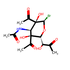 CC(=O)N[C@H]1[C@](O)(C(C)=O)[C@@H](Br)O[C@H](C(O)C(C)=O)[C@]1(O)C(C)=O